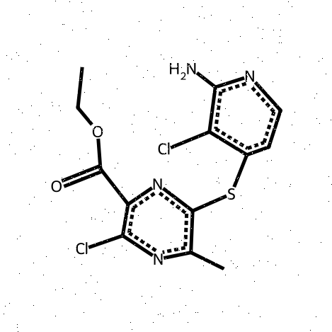 CCOC(=O)c1nc(Sc2ccnc(N)c2Cl)c(C)nc1Cl